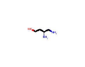 NC[C@@H](N)CCO